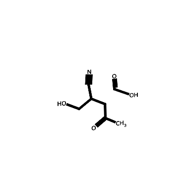 CC(=O)CC(C#N)CO.O=CO